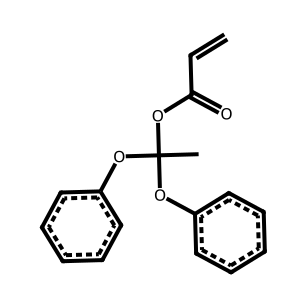 C=CC(=O)OC(C)(Oc1ccccc1)Oc1ccccc1